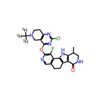 [2H]C([2H])([2H])N1CCc2nc(Cl)nc(Oc3ncc4c(c3F)-c3[nH]c5c(c3CC4)C(=O)NCC5C)c2C1